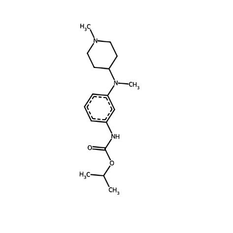 CC(C)OC(=O)Nc1cccc(N(C)C2CCN(C)CC2)c1